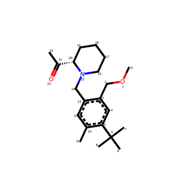 COCc1cc(C(C)(C)C)c(C)cc1CN1CCCC[C@H]1C(C)=O